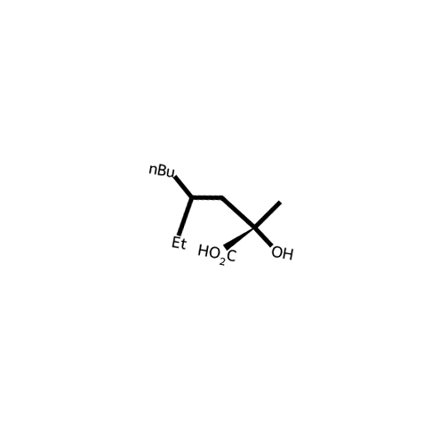 CCCCC(CC)C[C@](C)(O)C(=O)O